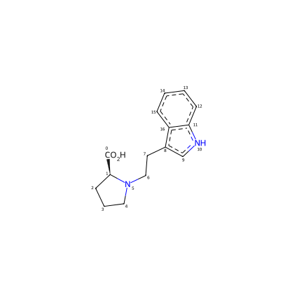 O=C(O)[C@@H]1CCCN1CCc1c[nH]c2ccccc12